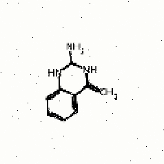 C=C1NC(N)Nc2ccccc21